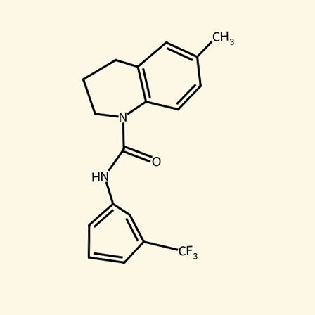 Cc1ccc2c(c1)CCCN2C(=O)Nc1cccc(C(F)(F)F)c1